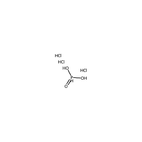 Cl.Cl.Cl.O=[PH](O)O